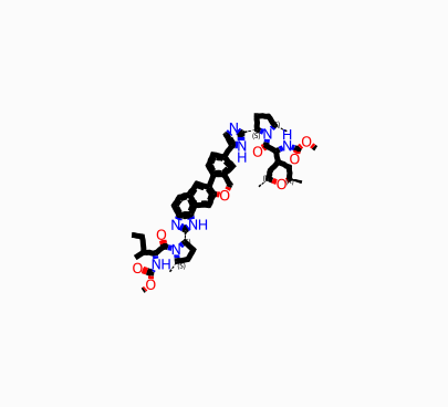 CCC(C)C(NC(=O)OC)C(=O)N1[C@@H](C)CC[C@H]1c1nc2ccc3cc4c(cc3c2[nH]1)OCc1cc(-c2cnc([C@@H]3CC[C@H](C)N3C(=O)C(NC(=O)OC)C3C[C@@H](C)O[C@H](C)C3)[nH]2)ccc1-4